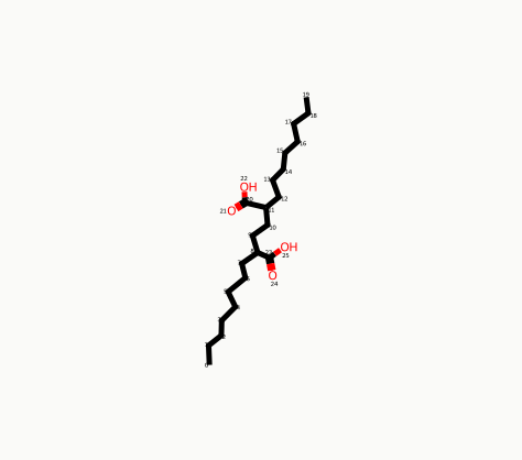 CCCCCCCCC(CCC(CCCCCCCC)C(=O)O)C(=O)O